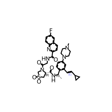 C[C@H](NC(=O)[C@@H]1CS(=O)(=O)CN1C(=O)CNC(=O)c1ccc2cc(F)ccc2n1)c1ccc(N2CCN(C)CC2)cc1/C=C/C1CC1